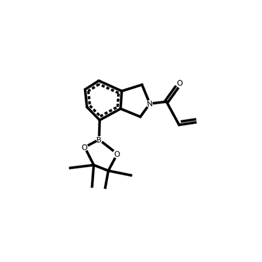 C=CC(=O)N1Cc2cccc(B3OC(C)(C)C(C)(C)O3)c2C1